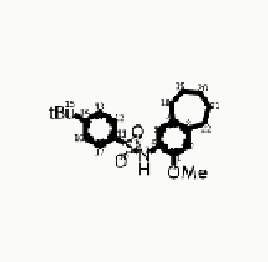 COc1cc2c(cc1NS(=O)(=O)c1ccc(C(C)(C)C)cc1)CCCCC2